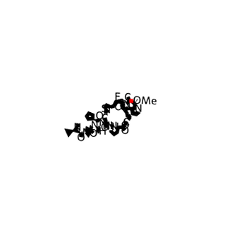 CO[C@@H](C)c1ncccc1-c1c2c3cc(ccc3n1CC(F)(F)F)-c1csc(n1)C[C@H](NC(=O)[C@H](C1CCCC1)N1CCOC3(CN(C(=O)[C@H]4[C@@H](C5CC5)N4C)C3)C1)C(=O)N1CCC[C@H](N1)C(=O)OCC(C)(C)C2